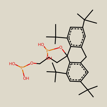 CC(C)(C)c1cc2c(c(C(C)(C)C)c1)C(CCCOP(O)O)(OP(O)O)c1c(cc(C(C)(C)C)cc1C(C)(C)C)C2